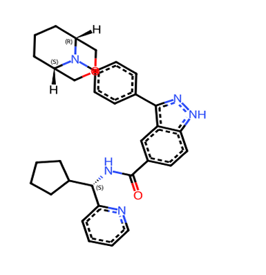 O=C(N[C@H](c1ccccn1)C1CCCC1)c1ccc2[nH]nc(-c3ccc(N4[C@@H]5CCC[C@H]4COC5)cc3)c2c1